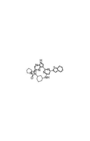 O=C(NC1CCCC(Nc2cc(-c3cc4ccccc4s3)nc(-c3c[nH]c4ncc(Cl)nc34)n2)C1)N1CCCC1